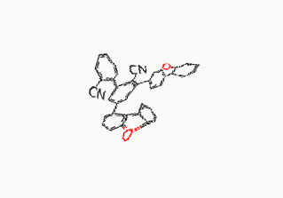 N#Cc1ccccc1-c1cc(-c2cccc3oc4ccccc4c23)cc(-c2ccc3c(c2)oc2ccccc23)c1C#N